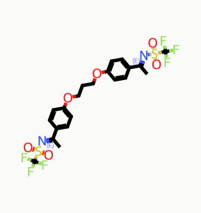 C/C(=N\S(=O)(=O)C(F)(F)F)c1ccc(OCCCOc2ccc(/C(C)=N/S(=O)(=O)C(F)(F)F)cc2)cc1